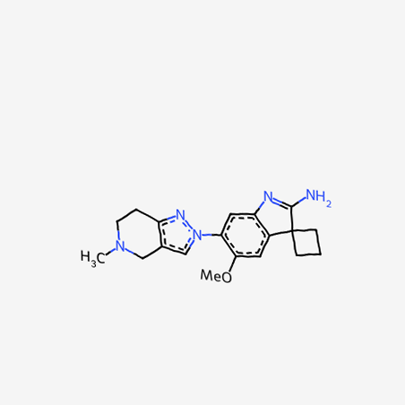 COc1cc2c(cc1-n1cc3c(n1)CCN(C)C3)N=C(N)C21CCC1